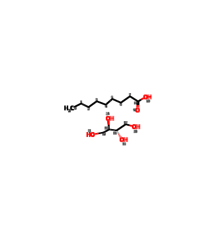 CCCCCCCCC(=O)O.OC[C@@H](O)[C@@H](O)CO